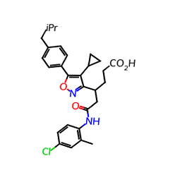 Cc1cc(Cl)ccc1NC(=O)CC(CCC(=O)O)c1noc(-c2ccc(CC(C)C)cc2)c1C1CC1